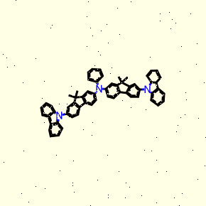 CC1(C)c2cc(N(c3ccccc3)c3ccc4c(c3)C(C)(C)c3cc(-n5c6ccccc6c6ccccc65)ccc3-4)ccc2-c2ccc(N3c4ccccc4C4C=CC=CC43)cc21